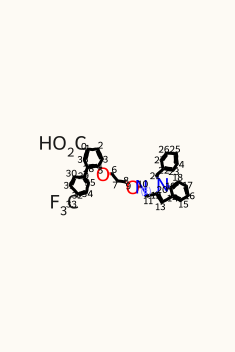 O=C(O)c1ccc(OCCCO/N=C/c2cc3ccccc3n2Cc2ccccc2)c(-c2ccc(C(F)(F)F)cc2)c1